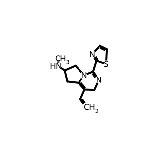 C=CC1=C2CC(NC)CN2C(c2nccs2)=NC1